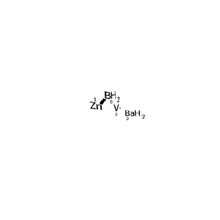 [BH2][Zn].[BaH2].[V]